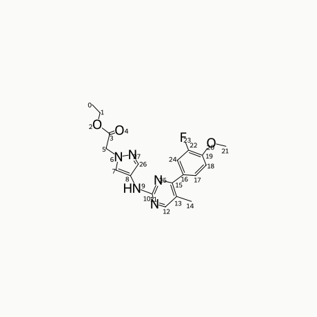 CCOC(=O)Cn1cc(Nc2ncc(C)c(-c3ccc(OC)c(F)c3)n2)cn1